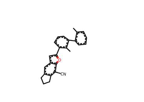 Cc1ccccc1-c1cccc(-c2cc3cc4c(c(C#N)c3o2)CCC4)c1C